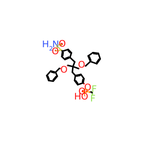 NS(=O)(=O)c1ccc(CC(COCc2ccccc2)(COCc2ccccc2)Cc2ccc(OP(=O)(O)C(F)F)cc2)cc1